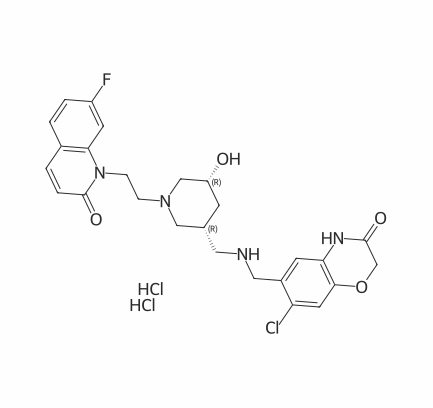 Cl.Cl.O=C1COc2cc(Cl)c(CNC[C@H]3C[C@@H](O)CN(CCn4c(=O)ccc5ccc(F)cc54)C3)cc2N1